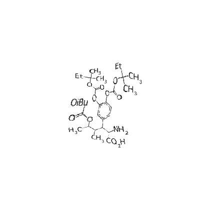 CCC(C)(C)OC(=O)Oc1ccc(C(C(C)C(C)OC(=O)OCC(C)C)[C@H](N)C(=O)O)cc1OC(=O)OC(C)(C)CC